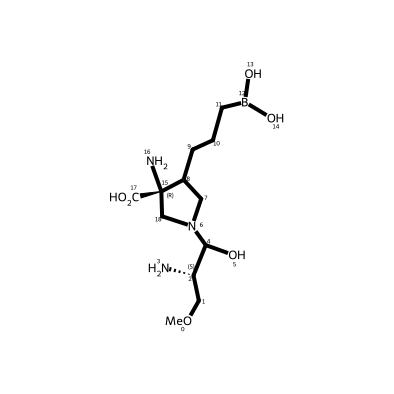 COC[C@H](N)C(O)N1CC(CCCB(O)O)[C@](N)(C(=O)O)C1